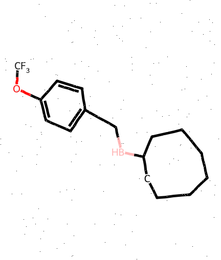 FC(F)(F)Oc1ccc(CBC2CCCCCCC2)cc1